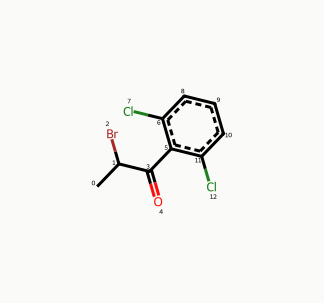 CC(Br)C(=O)c1c(Cl)cccc1Cl